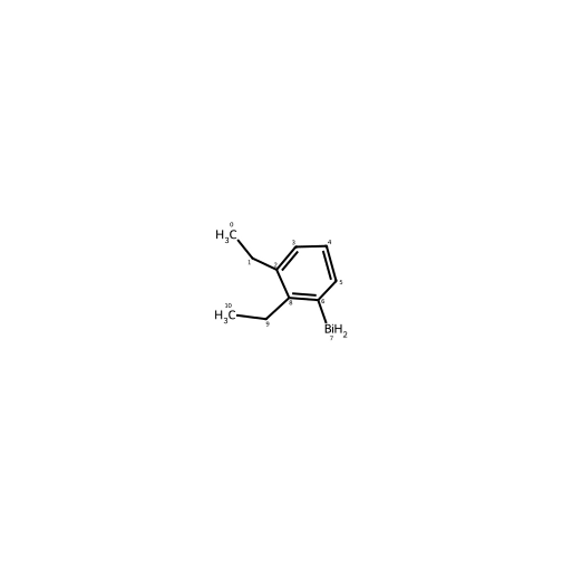 CCc1ccc[c]([BiH2])c1CC